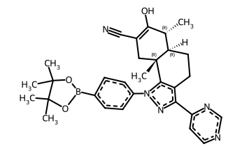 C[C@H]1C(O)=C(C#N)C[C@@]2(C)c3c(c(-c4ccncn4)nn3-c3ccc(B4OC(C)(C)C(C)(C)O4)cc3)CC[C@H]12